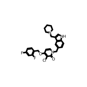 O=c1c(Cl)c(OCc2ccc(F)cc2F)ccn1Cc1ccc2[nH]cc(CN3CCCCC3)c2c1